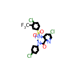 CN(C(=O)c1ncc(Cl)cc1NS(=O)(=O)c1ccc(Cl)c(C(F)(F)F)c1)c1ccc(Cl)cc1